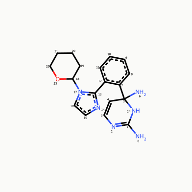 NC1=NC=CC(N)(c2ccccc2-c2nccn2C2CCCCO2)N1